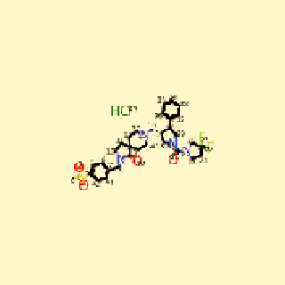 CS(=O)(=O)c1ccc(CN2CCC3(CCN(C[C@H]4CN(C(=O)N5CCC(F)(F)C5)C[C@@H]4c4ccccc4)CC3)C2=O)cc1.Cl